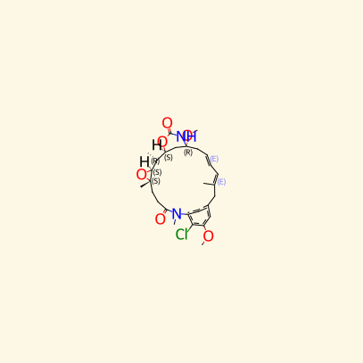 COc1cc2cc(c1Cl)N(C)C(=O)CC[C@]1(C)O[C@H]1[C@H](C)[C@@H]1C[C@](OC)(C/C=C/C=C(\C)C2)NC(=O)O1